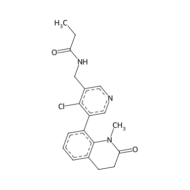 CCC(=O)NCc1cncc(-c2cccc3c2N(C)C(=O)CC3)c1Cl